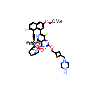 COCOc1cc(-c2ncc3c(N4CC5CCC(C4)N5C(=O)OC(C)(C)C)nc(OCC45CC(CN6CCNCC6)(C4)C5)nc3c2F)c2c(C#C[Si](C(C)C)(C(C)C)C(C)C)c(F)ccc2c1